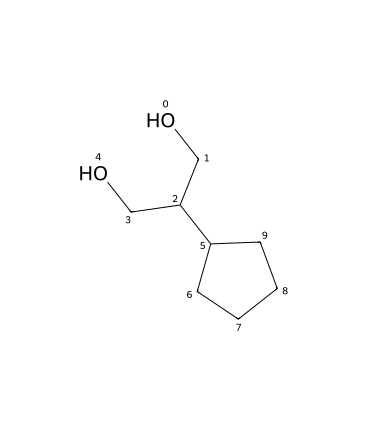 OCC(CO)C1CCCC1